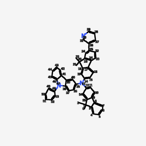 CC1(C)c2ccccc2-c2ccc(N(c3ccc4c(c3)C(C)(C)c3cc(-c5cccnc5)ccc3-4)c3ccc4c(c3)c3ccccc3n4-c3ccccc3)cc21